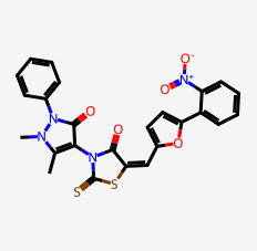 Cc1c(N2C(=O)C(=Cc3ccc(-c4ccccc4[N+](=O)[O-])o3)SC2=S)c(=O)n(-c2ccccc2)n1C